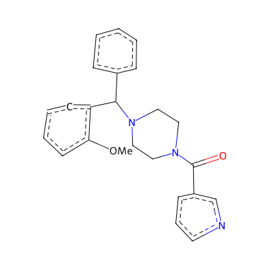 COc1ccccc1C(c1ccccc1)N1CCN(C(=O)c2cccnc2)CC1